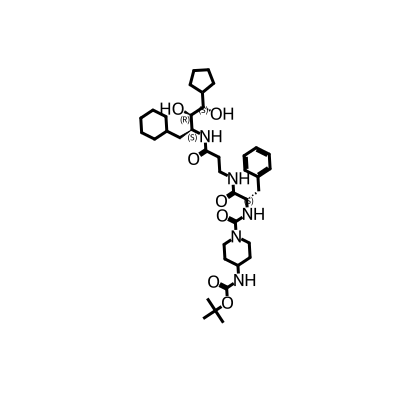 CC(C)(C)OC(=O)NC1CCN(C(=O)N[C@@H](Cc2ccccc2)C(=O)NCCC(=O)N[C@@H](CC2CCCCC2)[C@@H](O)[C@@H](O)C2CCCC2)CC1